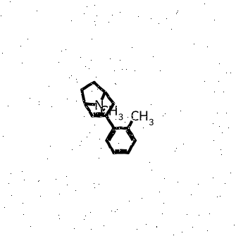 Cc1ccccc1C1=CC2CCC(C1)N2C